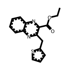 CCOC(=O)c1nc2ccccc2nc1Cc1cccs1